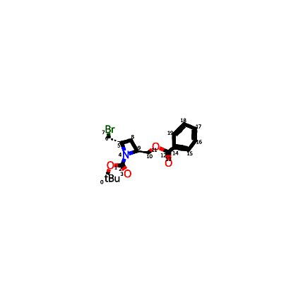 CC(C)(C)OC(=O)N1[C@H](CBr)C[C@H]1COC(=O)c1ccccc1